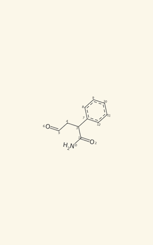 NC(=O)C(CC=O)c1ccccc1